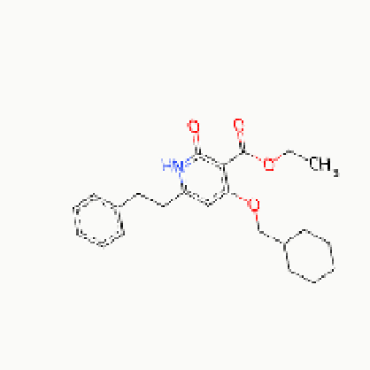 CCOC(=O)c1c(OCC2CCCCC2)cc(CCc2ccccc2)[nH]c1=O